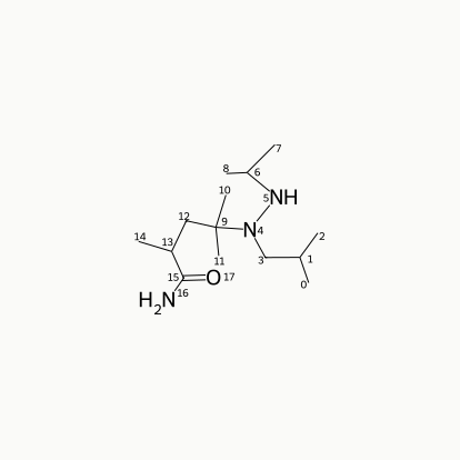 CC(C)CN(NC(C)C)C(C)(C)CC(C)C(N)=O